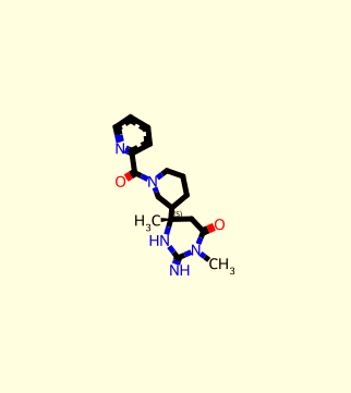 CN1C(=N)N[C@](C)(C2CCCN(C(=O)c3ccccn3)C2)CC1=O